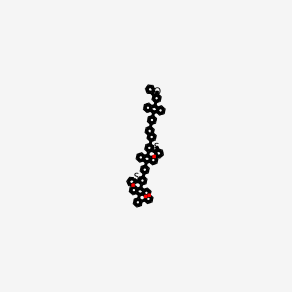 c1ccc(-c2ccccc2-c2c3ccccc3c(-c3ccc(-c4ccc(-c5c6ccccc6c(-c6ccc(-c7ccc8cc(-c9ccc(-c%10c%11ccccc%11c(-c%11ccc%12oc%13ccccc%13c%12c%11)c%11ccccc%10%11)cc9)ccc8c7)c7sc8ccccc8c67)c6ccccc56)cc4)c4sc5ccccc5c34)c3ccccc23)cc1